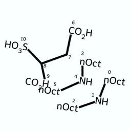 CCCCCCCCNCCCCCCCC.CCCCCCCCNCCCCCCCC.O=C(O)CC(C(=O)O)S(=O)(=O)O